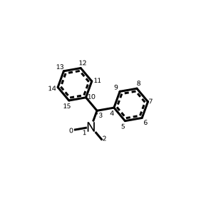 CN(C)[C](c1ccccc1)c1ccccc1